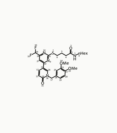 CCCCCCNC(=O)CCCSc1nc(-c2ccc(=O)n(Cc3ccc(OC)c(OC)c3)c2)cc(C(F)F)n1